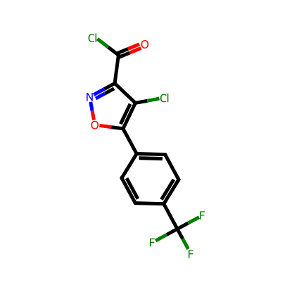 O=C(Cl)c1noc(-c2ccc(C(F)(F)F)cc2)c1Cl